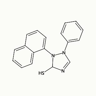 SC1N=CN(c2ccccc2)N1c1cccc2ccccc12